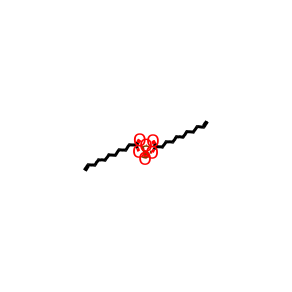 C=CCCCCCCCCC(=O)OS(=O)(=O)OC(=O)CCCCCCCCC=C